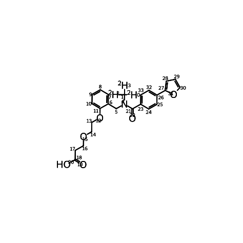 [2H]C([2H])([2H])N(Cc1ccccc1OCCOCCC(=O)O)C(=O)c1ccc(-c2ccco2)cc1